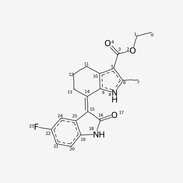 CCOC(=O)c1c(C)[nH]c2c1CCC/C2=C1/C(=O)Nc2ccc(F)cc21